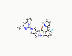 Cc1cc(C)nc(N2C=C3C(CNC3C(=O)c3cccc(F)c3-c3ccccn3)C2)n1